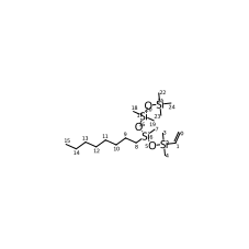 C=C[Si](C)(C)O[Si](C)(CCCCCCCC)O[Si](C)(C)O[Si](C)(C)C